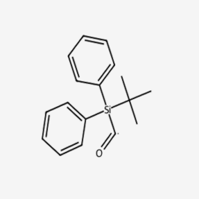 CC(C)(C)[Si]([C]=O)(c1ccccc1)c1ccccc1